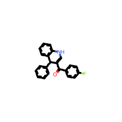 O=C(C1=CNc2ccccc2C1c1ccccc1)c1ccc(F)cc1